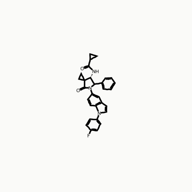 O=C(N[C@@H]1C(c2ccccc2)N(c2ccc3c(ccn3-c3ccc(F)cc3)c2)C(=O)C12CC2)C1CC1